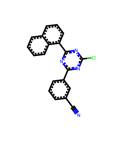 N#Cc1cccc(-c2nc(Cl)nc(-c3cccc4ccccc34)n2)c1